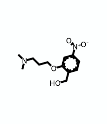 CN(C)CCCOc1cc([N+](=O)[O-])ccc1CO